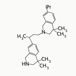 CC(C)c1ccc2c(c1)CN(CCC(C)c1ccc3c(c1)CNCC3(C)C)CC2(C)C